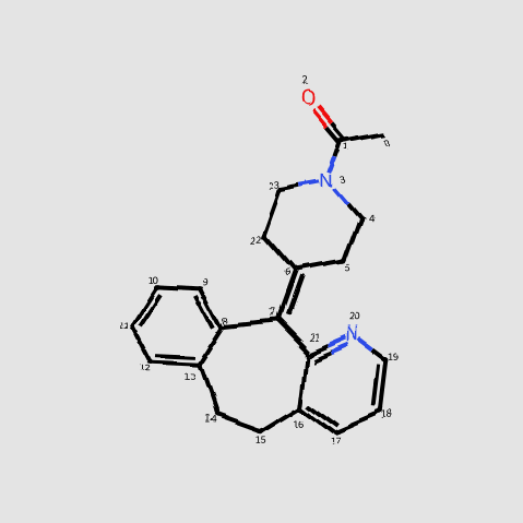 CC(=O)N1CCC(=C2c3ccccc3CCc3cccnc32)CC1